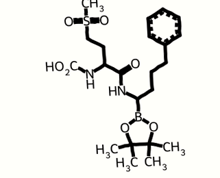 CC1(C)OB(C(CCCc2ccccc2)NC(=O)C(CCS(C)(=O)=O)NC(=O)O)OC1(C)C